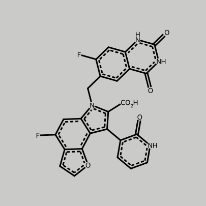 O=C(O)c1c(-c2ccc[nH]c2=O)c2c3occc3c(F)cc2n1Cc1cc2c(=O)[nH]c(=O)[nH]c2cc1F